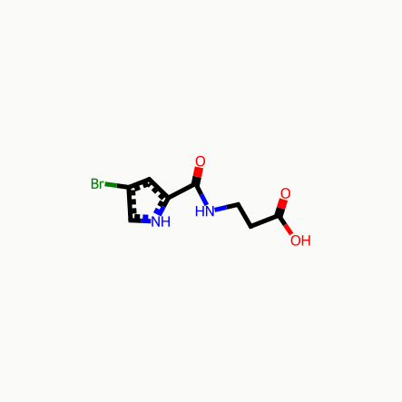 O=C(O)CCNC(=O)c1cc(Br)c[nH]1